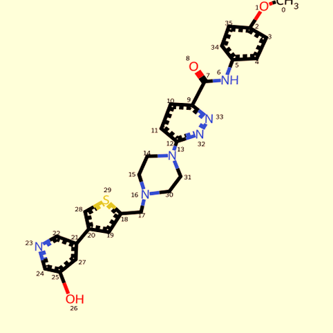 COc1ccc(NC(=O)c2ccc(N3CCN(Cc4cc(-c5cncc(O)c5)cs4)CC3)nn2)cc1